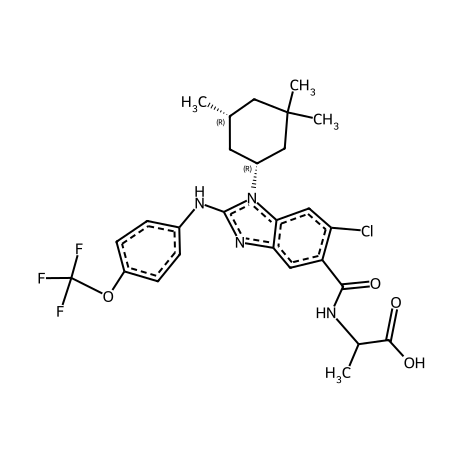 CC(NC(=O)c1cc2nc(Nc3ccc(OC(F)(F)F)cc3)n([C@@H]3C[C@H](C)CC(C)(C)C3)c2cc1Cl)C(=O)O